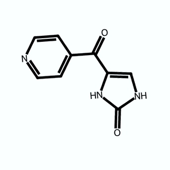 O=C(c1ccncc1)c1c[nH]c(=O)[nH]1